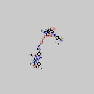 COc1cc(N2CCN(CCCOCCOCCC(=O)NC(C(=O)N3C[C@H](O)C[C@H]3C(=O)NCc3ccc(-c4scnc4C)cc3)C(C)(C)C)CC2)ccc1Nc1ncc(Cl)c(Nc2ccccc2P(C)(C)=O)n1